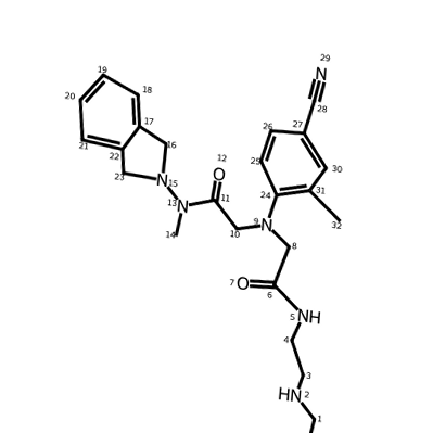 CCNCCNC(=O)CN(CC(=O)N(C)N1Cc2ccccc2C1)c1ccc(C#N)cc1C